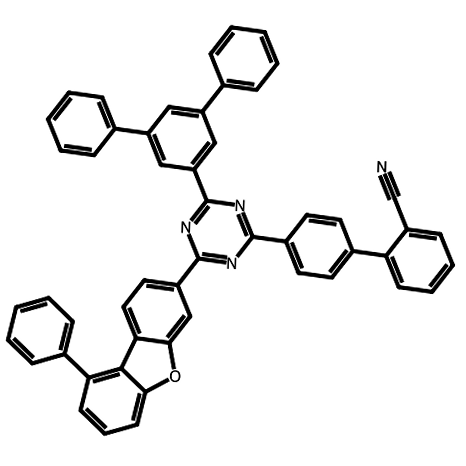 N#Cc1ccccc1-c1ccc(-c2nc(-c3cc(-c4ccccc4)cc(-c4ccccc4)c3)nc(-c3ccc4c(c3)oc3cccc(-c5ccccc5)c34)n2)cc1